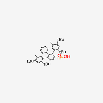 Cc1cc(-c2ccc(OPO)c(-c3cc(C)c(C(C)(C)C)cc3C(C)(C)C)c2-c2ccccc2)c(C(C)(C)C)cc1C(C)(C)C